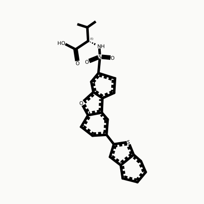 CC(C)[C@H](NS(=O)(=O)c1ccc2c(c1)oc1ccc(-c3cc4ccccc4s3)cc12)C(=O)O